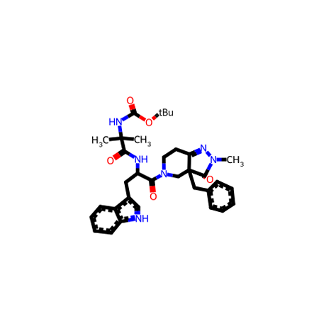 CN1N=C2CCN(C(=O)C(Cc3c[nH]c4ccccc34)NC(=O)C(C)(C)NC(=O)OC(C)(C)C)CC2(Cc2ccccc2)C1=O